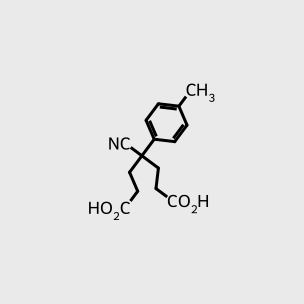 Cc1ccc(C(C#N)(CCC(=O)O)CCC(=O)O)cc1